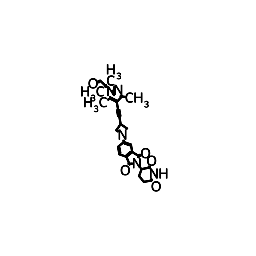 Cc1nn(C(C)(C)C=O)c(C)c1C#CC1CN(c2ccc3c(c2)C(=O)N(C2CCC(=O)NC2=O)C3=O)C1